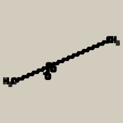 CCCCCCCCCCCCCCCCCCCCCCCC(=O)OC(C[C]=O)CCCCCCCCCCCCC